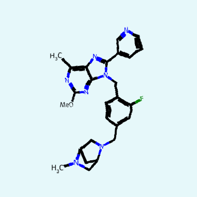 COc1nc(C)c2nc(-c3cccnc3)n(Cc3ccc(CN4CC5CC4CN5C)cc3F)c2n1